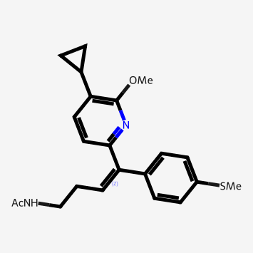 COc1nc(/C(=C\CCNC(C)=O)c2ccc(SC)cc2)ccc1C1CC1